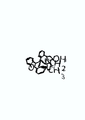 C=C(OC)C1C(CCO)c2ccccc2C2=[N+]1c1ccccc1C1Oc3ccccc3C21